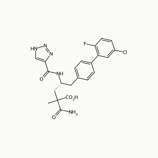 CC(C[C@@H](Cc1ccc(-c2cc(Cl)ccc2F)cc1)NC(=O)c1c[nH]nn1)(C(N)=O)C(=O)O